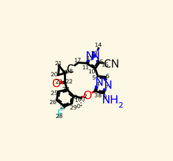 C[C@H]1Oc2nc(cnc2N)-c2c(nn(C)c2C#N)CCC2(CC2)C(=O)c2ccc(F)cc21